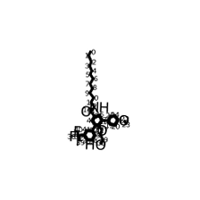 CCCCCCCCCCCCNC(=O)c1cc(-c2ccc(OC)cc2)c(OCCO)c(-c2cccc(C(F)(F)F)c2)c1